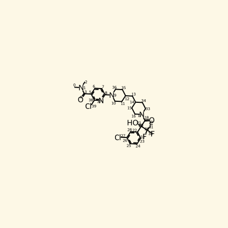 CN(C)C(=O)c1ccc(N2CCC(CC3CCN(C(=O)[C@@](O)(c4cccc(Cl)c4)C(F)(F)F)CC3)CC2)nc1Cl